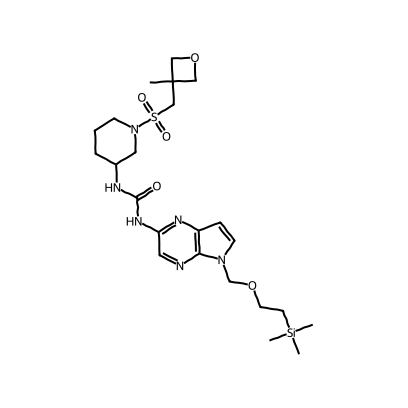 CC1(CS(=O)(=O)N2CCCC(NC(=O)Nc3cnc4c(ccn4COCC[Si](C)(C)C)n3)C2)COC1